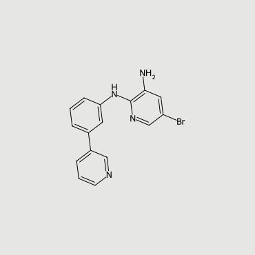 Nc1cc(Br)cnc1Nc1cccc(-c2cccnc2)c1